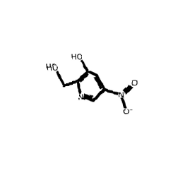 O=[N+]([O-])c1cnc(CO)c(O)c1